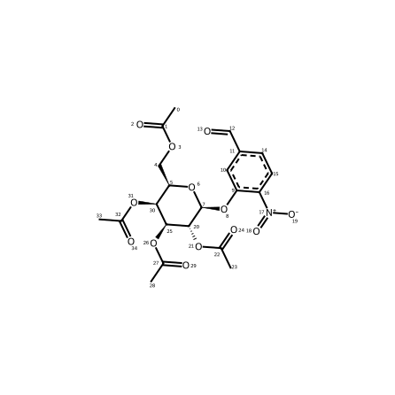 CC(=O)OC[C@H]1O[C@@H](Oc2cc(C=O)ccc2[N+](=O)[O-])[C@H](OC(C)=O)[C@@H](OC(C)=O)[C@H]1OC(C)=O